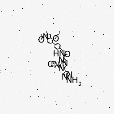 CCCOc1c(-c2ccc(CNC(=O)c3cn4cc(-c5cnc(N)nc5)nc(N5CCOCC5)c4n3)cc2)ccc2c1CC(C)N2C(C)=O